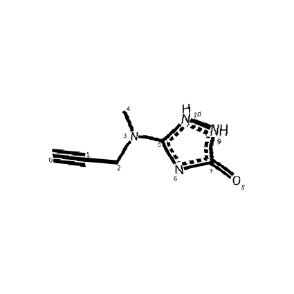 C#CCN(C)c1nc(=O)[nH][nH]1